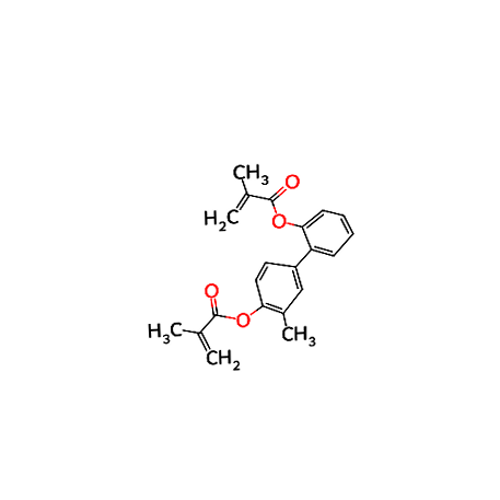 C=C(C)C(=O)Oc1ccc(-c2ccccc2OC(=O)C(=C)C)cc1C